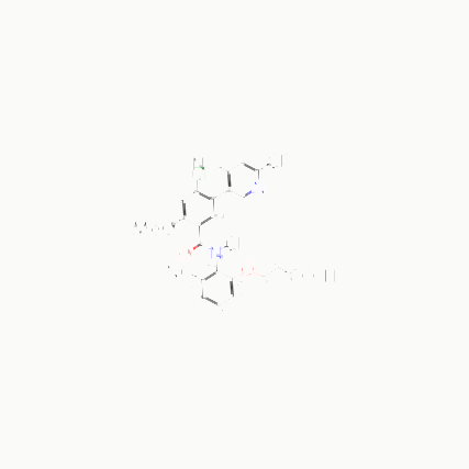 COc1cc(Cl)c(-c2cnc(C(F)(F)F)cc2C#N)cc1C(=O)N(C)c1c(C#N)cccc1OCCC(=O)O